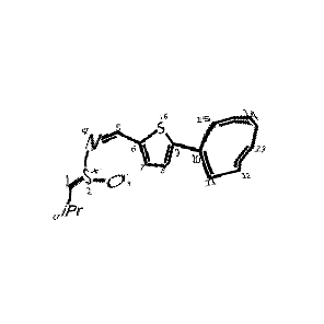 CC(C)C[S+]([O-])/N=C\c1ccc(-c2ccccc2)s1